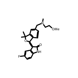 COCCN(C)Cc1ccc2c(c1)C(C)(C)OC2=C1C(=O)Nc2ccc(F)cc21